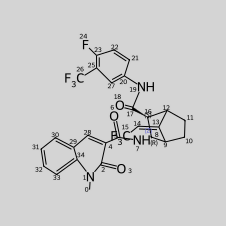 Cn1c(=O)c(C(=O)N[C@@H]2C3CCC(/C3=C/C(F)(F)F)[C@@H]2C(=O)Nc2ccc(F)c(C(F)(F)F)c2)cc2ccccc21